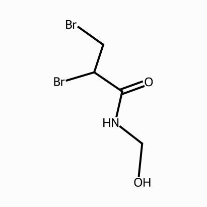 O=C(NCO)C(Br)CBr